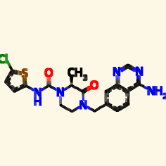 C[C@H]1C(=O)N(Cc2ccc3c(N)ncnc3c2)CCN1C(=O)Nc1ccc(Cl)s1